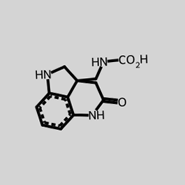 O=C(O)NCC12CNc3cccc(c31)NC(=O)C2